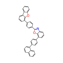 c1ccc2c(-c3ccc(-c4cccc5nc(-c6ccc(-c7cccc8c7oc7ccccc78)cc6)oc45)cc3)cccc2c1